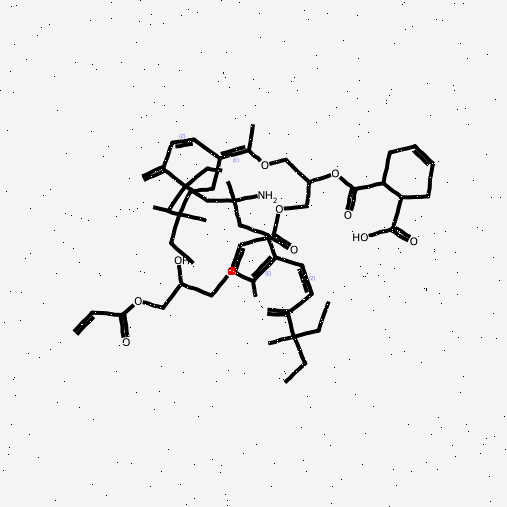 C=CC(=O)OCC(O)CO/C(C)=C(/C=C\C(=C)C(C)(CC)CC)CCC(C)(N)CC(C)(CC)C(=C)/C=C\C(CCC(C)(C)CC)=C(/C)OCC(COC(=O)C=C)OC(=O)C1CC=CCC1C(=O)O